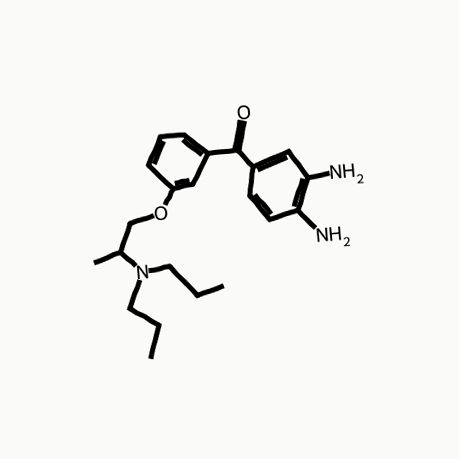 CCCN(CCC)C(C)COc1cccc(C(=O)c2ccc(N)c(N)c2)c1